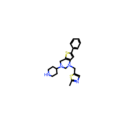 Cc1ncc(CN2CN(C3CCNCC3)Cc3sc(-c4ccccc4)cc32)s1